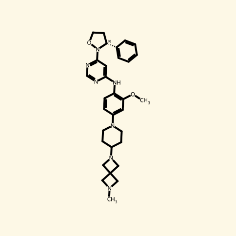 COc1cc(N2CCC(N3CC4(CN(C)C4)C3)CC2)ccc1Nc1cc(N2OCC[C@@H]2c2ccccc2)ncn1